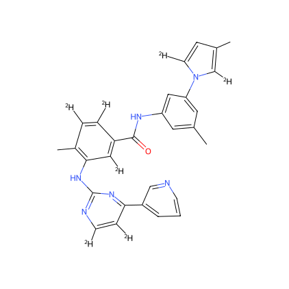 [2H]c1nc(Nc2c([2H])c(C(=O)Nc3cc(C)cc(-n4c([2H])cc(C)c4[2H])c3)c([2H])c([2H])c2C)nc(-c2cccnc2)c1[2H]